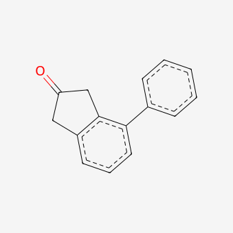 O=C1Cc2cccc(-c3ccccc3)c2C1